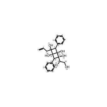 C=CCC1(O)C(c2ccccc2)[C@]2(O)[C@](O)([C@H](O)CO)C(c3ccccc3)[C@]12O